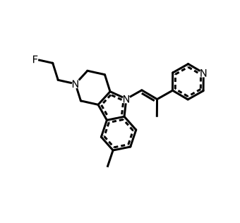 CC(=Cn1c2c(c3cc(C)ccc31)CN(CCF)CC2)c1ccncc1